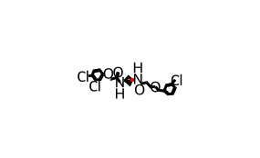 O=C(CCOCc1cccc(Cl)c1)NC12CC(NC(=O)COc3ccc(Cl)c(Cl)c3)(C1)C2